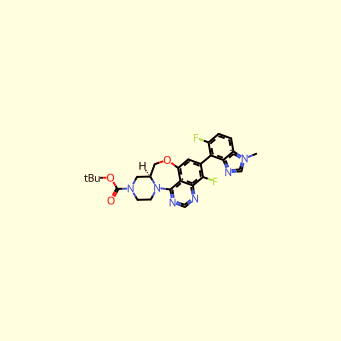 Cn1cnc2c(-c3cc4c5c(ncnc5c3F)N3CCN(C(=O)OC(C)(C)C)C[C@H]3CO4)c(F)ccc21